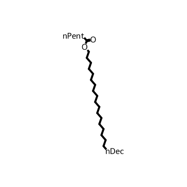 CCCCCCCCCCCCCCCCCCCCCCCCCCCCOC(=O)CCCCC